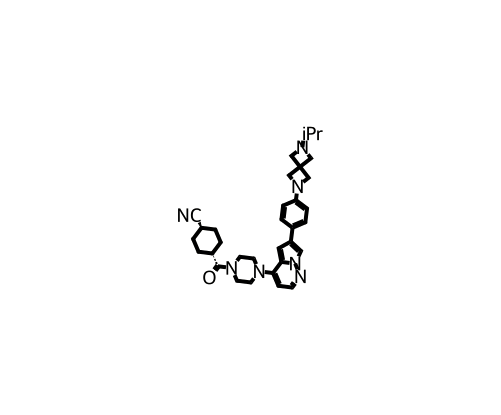 CC(C)N1CC2(CN(c3ccc(-c4cc5c(N6CCN(C(=O)[C@H]7CC[C@H](C#N)CC7)CC6)ccnn5c4)cc3)C2)C1